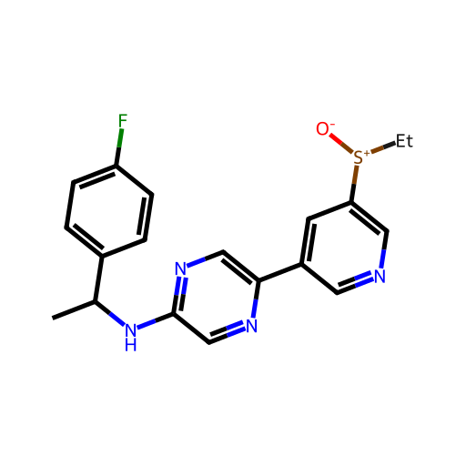 CC[S+]([O-])c1cncc(-c2cnc(NC(C)c3ccc(F)cc3)cn2)c1